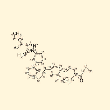 CCOC(=O)c1cnn(-c2cccc(-c3cccc4c3[C@@H](Cc3ccc(C5CCN(C(=O)C6CC6)CC5)c(CC)c3)CC4)c2)c1N